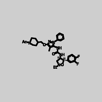 CCN1C[C@@H](NC(=O)Nc2c(C)c(OCC3CCN(C(C)=O)CC3)nn2-c2ccccc2)[C@H](c2ccc(F)c(F)c2)O1